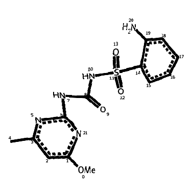 COc1cc(C)nc(NC(=O)NS(=O)(=O)c2ccccc2N)n1